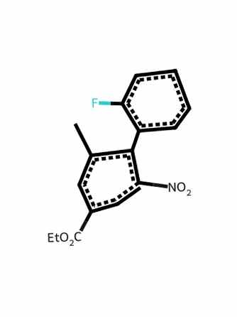 CCOC(=O)c1cc(C)c(-c2ccccc2F)c([N+](=O)[O-])c1